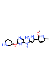 COc1nc(C)ccc1-c1cc(Nc2cncc(O[C@@H]3CCCNC3)n2)[nH]n1